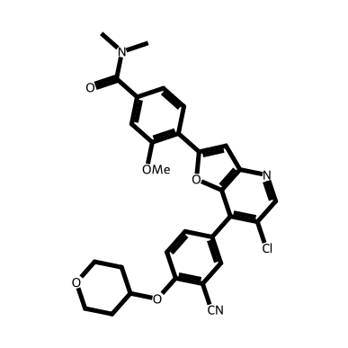 COc1cc(C(=O)N(C)C)ccc1-c1cc2ncc(Cl)c(-c3ccc(OC4CCOCC4)c(C#N)c3)c2o1